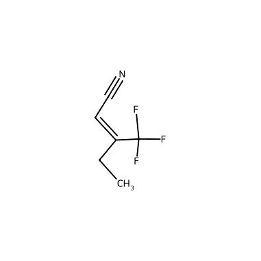 CCC(=CC#N)C(F)(F)F